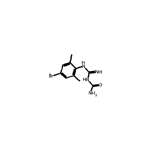 Cc1cc(Br)cc(C)c1NC(=N)NC(N)=O